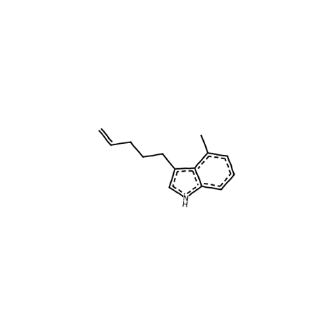 C=CCCCc1c[nH]c2cccc(C)c12